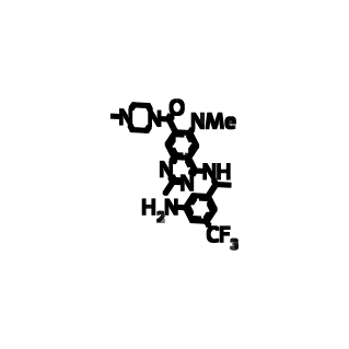 CNc1cc2c(NC(C)c3cc(N)cc(C(F)(F)F)c3)nc(C)nc2cc1C(=O)N1CCN(C)CC1